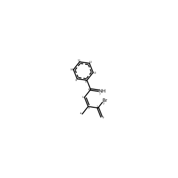 C=C(Br)/C(C)=C\C(=N)c1ccccc1